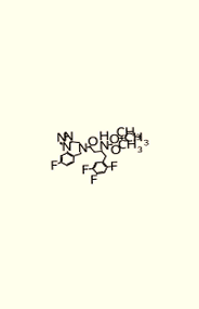 CC(C)(C)OC(=O)NC(CC(=O)N1Cc2ccc(F)cc2-n2cnnc2C1)Cc1cc(F)c(F)cc1F